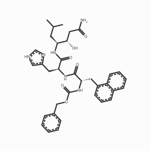 CC(C)C[C@H](NC(=O)[C@H](Cc1c[nH]cn1)NC(=O)[C@H](Cc1cccc2ccccc12)NC(=O)OCc1ccccc1)[C@@H](O)CC(N)=O